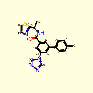 Cc1ccc(-c2cc(C(=O)NC(C)c3nccs3)cc(-n3cnnn3)c2)cc1